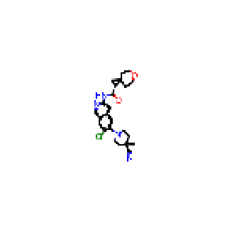 CC1(C#N)CCN(c2cc3cc(NC(=O)[C@H]4CC45CCOCC5)ncc3cc2Cl)CC1